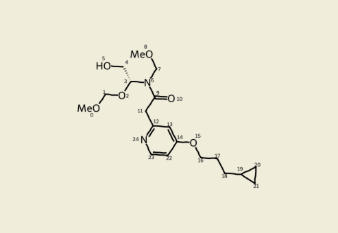 COCO[C@H](CO)N(COC)C(=O)Cc1cc(OCCCC2CC2)ccn1